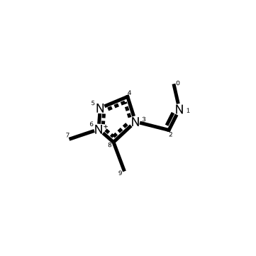 C/N=C\n1cn[n+](C)c1C